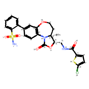 NS(=O)(=O)c1ccccc1-c1ccc2c(c1)OCC[C@H]1[C@H](CNC(=O)c3ccc(Cl)s3)OC(=O)N21